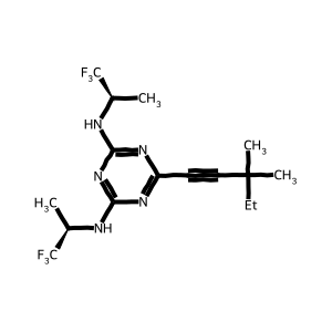 CCC(C)(C)C#Cc1nc(N[C@H](C)C(F)(F)F)nc(N[C@H](C)C(F)(F)F)n1